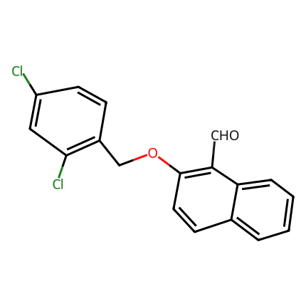 O=Cc1c(OCc2ccc(Cl)cc2Cl)ccc2ccccc12